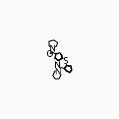 O=C(c1ccc2c(c1)N=C(N1CCCCC1)c1ccccc1S2)N1CCCCC1